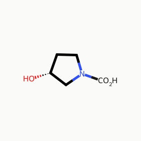 O=C(O)N1CC[C@@H](O)C1